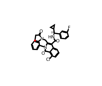 O=C(N[C@H](c1cccc(F)c1)C1CC1)c1c(CN2CCCC2=O)n(-c2ccccc2)c(=O)c2c(Cl)cccc12